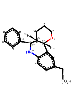 O=C(O)Cc1ccc2c(c1)[C@H]1OCCC[C@H]1[C@H](c1ccccc1)N2